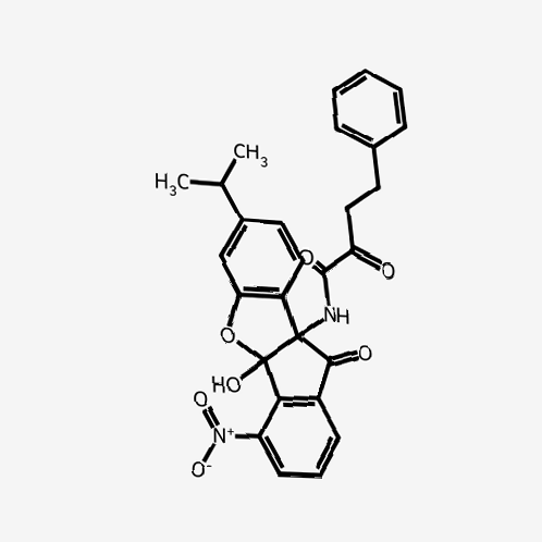 CC(C)c1ccc2c(c1)OC1(O)c3c(cccc3[N+](=O)[O-])C(=O)C21NC(=O)C(=O)CCc1ccccc1